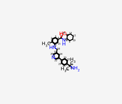 Cc1ccc(C(=O)N[C@H]2CCCC[C@@H]2O)cc1NCc1cncc(-c2ccc(C(C)(C)N)cc2)c1